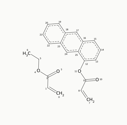 C=CC(=O)OCC.C=CC(=O)Oc1cccc2cc3ccccc3cc12